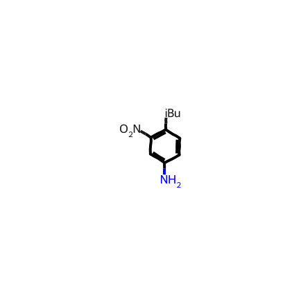 CCC(C)c1ccc(N)cc1[N+](=O)[O-]